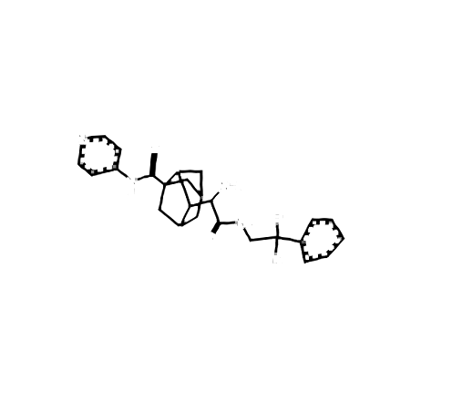 CCC(CC)(CNC(=O)C(N)C1C2CC3CC1C(C(=O)Nc1ccncc1)(C3)C2)c1ccccc1